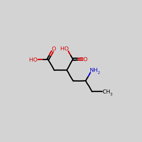 CCC(N)CC(CC(=O)O)C(=O)O